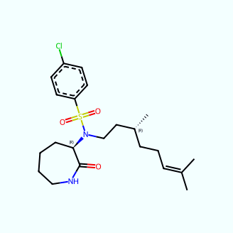 CC(C)=CCC[C@@H](C)CCN([C@@H]1CCCCNC1=O)S(=O)(=O)c1ccc(Cl)cc1